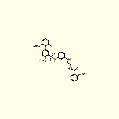 COc1ccccc1C(=O)NCCNc1cccc(NS(=O)(=O)c2cc(-c3c(F)cccc3OC)ccc2OC)c1